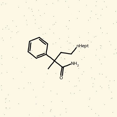 CCCCCCCCCC(C)(C(N)=O)c1ccccc1